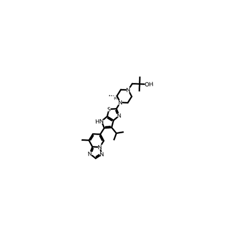 Cc1cc(-c2[nH]c3sc(N4CCN(CC(C)(C)O)C[C@H]4C)nc3c2C(C)C)cn2ncnc12